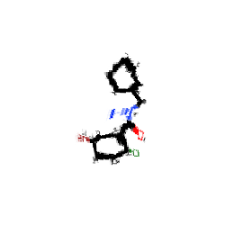 O=C(NCc1ccccc1)c1cc(Br)ccc1Cl